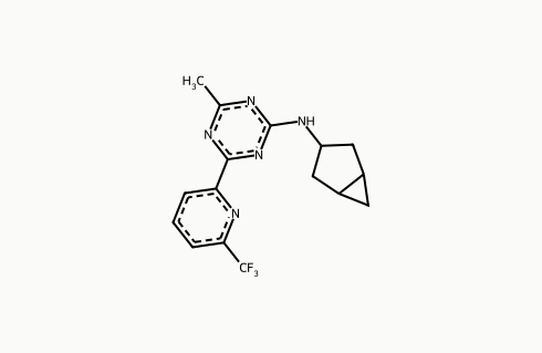 Cc1nc(NC2CC3CC3C2)nc(-c2cccc(C(F)(F)F)n2)n1